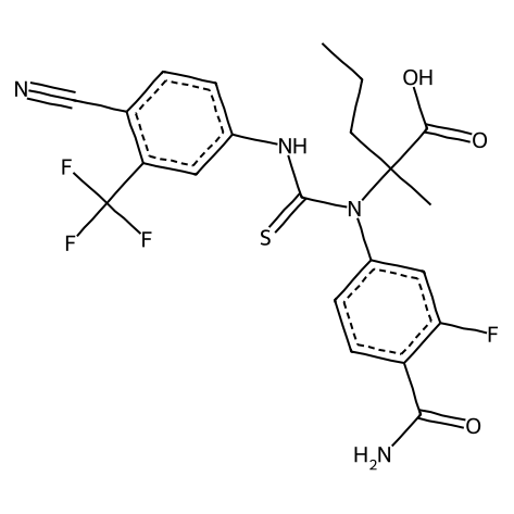 CCCC(C)(C(=O)O)N(C(=S)Nc1ccc(C#N)c(C(F)(F)F)c1)c1ccc(C(N)=O)c(F)c1